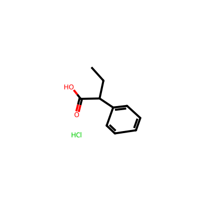 CCC(C(=O)O)c1ccccc1.Cl